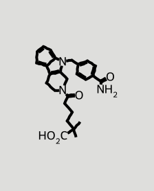 CC(C)(CCCC(=O)N1CCc2c(n(Cc3ccc(C(N)=O)cc3)c3ccccc23)C1)C(=O)O